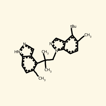 Cc1ccc2[nH]ncc2c1C(C)(C)Cn1ncc2c(C(C)(C)C)c(C)ccc21